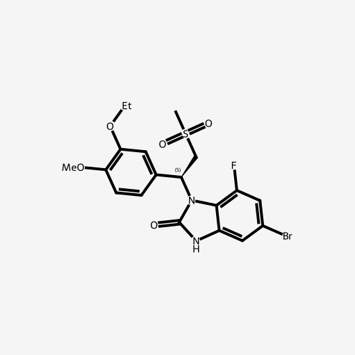 CCOc1cc([C@@H](CS(C)(=O)=O)n2c(=O)[nH]c3cc(Br)cc(F)c32)ccc1OC